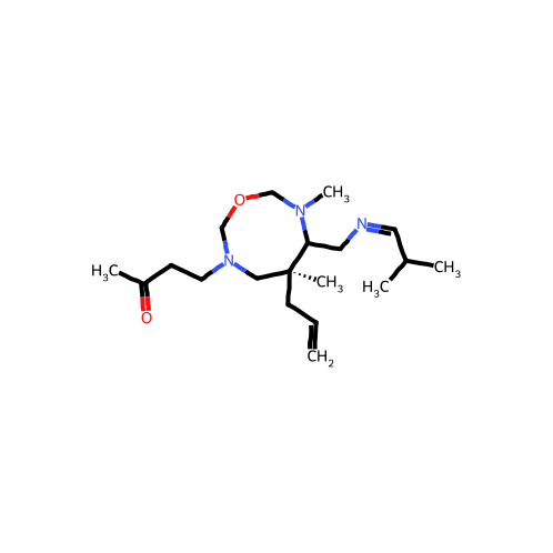 C=CC[C@@]1(C)CN(CCC(C)=O)COCN(C)C1C/N=C\C(C)C